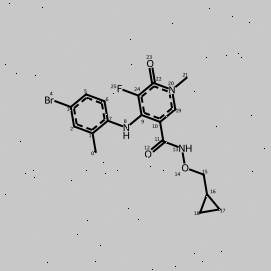 Cc1cc(Br)ccc1Nc1c(C(=O)NOCC2CC2)cn(C)c(=O)c1F